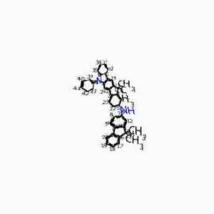 CC1(C)C2=CC(Nc3ccc4c(c3)C(C)(C)c3ccccc3-4)CC=C2c2cc3c(cc21)C1C=CC=CC1N3C1=CC=CCC1